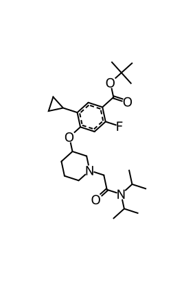 CC(C)N(C(=O)CN1CCCC(Oc2cc(F)c(C(=O)OC(C)(C)C)cc2C2CC2)C1)C(C)C